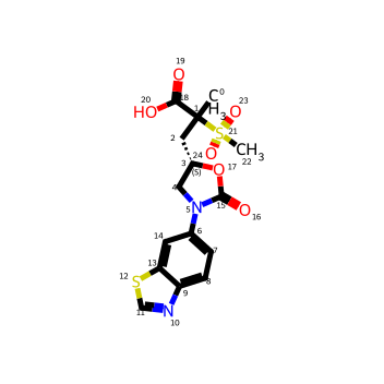 CC(C[C@H]1CN(c2ccc3ncsc3c2)C(=O)O1)(C(=O)O)S(C)(=O)=O